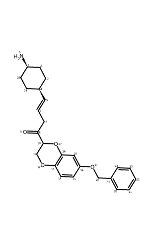 N[C@H]1CC[C@@H](/C=C/CC(=O)C2COc3ccc(OCc4ccccc4)cc3O2)CC1